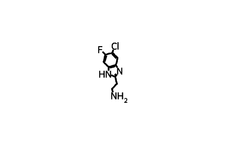 NCCc1nc2cc(Cl)c(F)cc2[nH]1